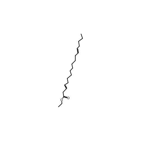 CCCCC=CCCCCCCCCC=CCC(=O)OCC